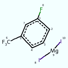 Fc1c[c]cc(C(F)(F)F)c1.[I][Mg][I]